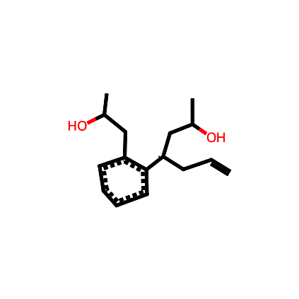 C=CC[C](CC(C)O)c1ccccc1CC(C)O